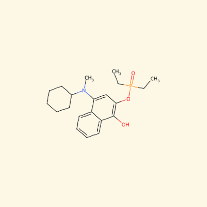 CCP(=O)(CC)Oc1cc(N(C)C2CCCCC2)c2ccccc2c1O